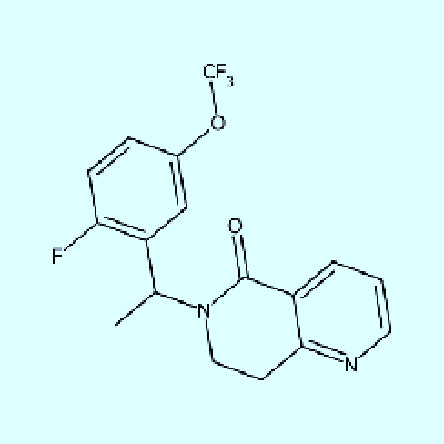 CC(c1cc(OC(F)(F)F)ccc1F)N1CCc2ncccc2C1=O